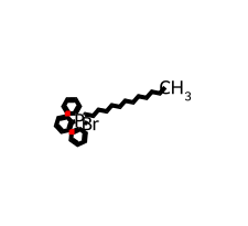 CCCCCCCCCCCCCP(Br)(c1ccccc1)(c1ccccc1)c1ccccc1